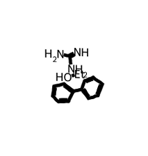 CCO.N=C(N)N.c1ccc(-c2ccccc2)cc1